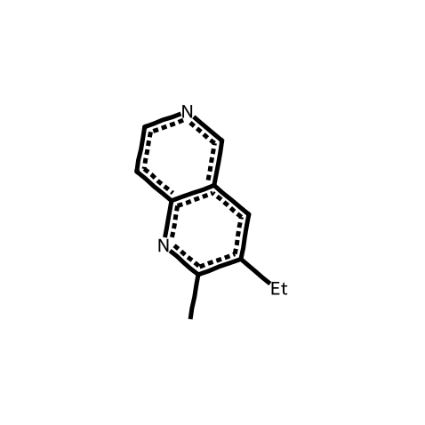 CCc1cc2cnccc2nc1C